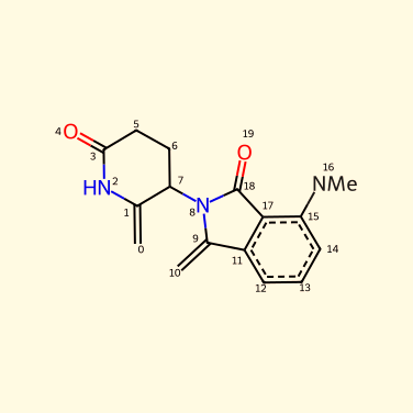 C=C1NC(=O)CCC1N1C(=C)c2cccc(NC)c2C1=O